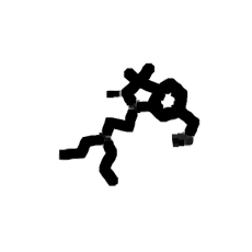 CCCN(CCC)CCN1c2cc(CO)ccc2C(C)(C)[C@H]1C